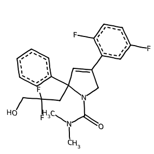 CN(C)C(=O)N1CC(c2cc(F)ccc2F)=CC1(CC(F)(F)CO)c1ccccc1